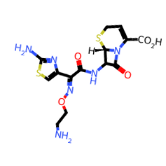 NCCON=C(C(=O)NC1C(=O)N2C(C(=O)O)=CCS[C@@H]12)c1csc(N)n1